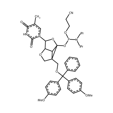 COc1ccc(C(OCC23COC4C(n5cc(C)c(=O)[nH]c5=O)OC2(OP(OCCC#N)N(C(C)C)C(C)C)C43)(c2ccccc2)c2ccc(OC)cc2)cc1